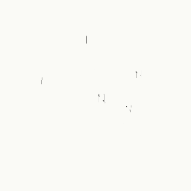 Fc1cc(F)cc(N2C=c3c(F)cccc3=N[C@H]2C2CCCN2)c1